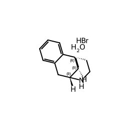 Br.O.c1ccc2c(c1)C[C@H]1NCC[C@@]23CCCC[C@@H]13